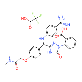 CN(C)C(=O)COc1ccc(C(Nc2ccc(C(=N)N)cc2)c2nn(-c3ccccc3C(=O)O)c(=O)[nH]2)cc1.O=C(O)C(F)(F)F